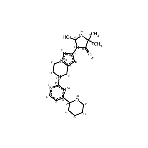 CC1(C)NC(O)N(c2cc3n(n2)CCN(c2nccc(C4CCCCO4)n2)C3)C1=O